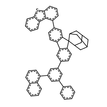 c1ccc(-c2cc(-c3ccc4c(c3)-c3ccc(-c5cccc6sc7ccccc7c56)cc3C43C4CC5CC(C4)CC3C5)cc(-c3cccc4ccccc34)c2)cc1